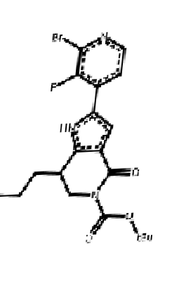 CC(C)(C)OC(=O)N1CC(CCO)c2[nH]c(-c3ccnc(Br)c3F)cc2C1=O